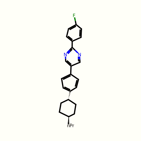 CCC[C@H]1CC[C@H](c2ccc(-c3cnc(-c4ccc(F)cc4)nc3)cc2)CC1